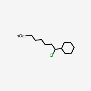 CCCCCCCCCCCCCC(Cl)C1CCCCC1